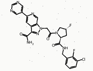 NC(=O)c1nn(CC(=O)N2C[C@H](F)C[C@H]2C(=O)NCc2cccc(Cl)c2F)c2cnc(-c3cncnc3)cc12